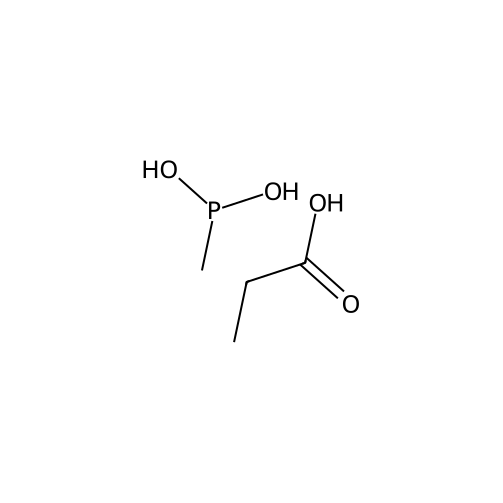 CCC(=O)O.CP(O)O